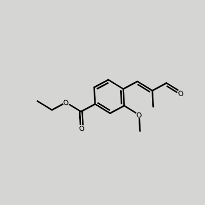 CCOC(=O)c1ccc(/C=C(\C)C=O)c(OC)c1